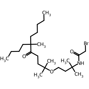 CCCCCC(C)(CCCC)C(=O)CCC(C)(C)OCCC(C)(C)NC(=O)CBr